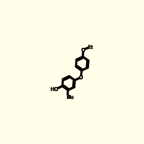 CCOc1ccc(Oc2ccc(O)c(C(C)CC)c2)cc1